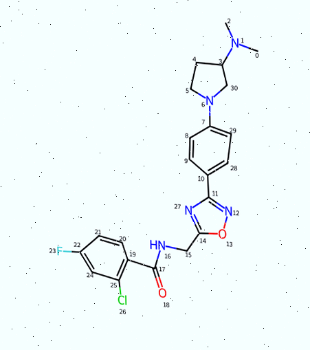 CN(C)C1CCN(c2ccc(-c3noc(CNC(=O)c4ccc(F)cc4Cl)n3)cc2)C1